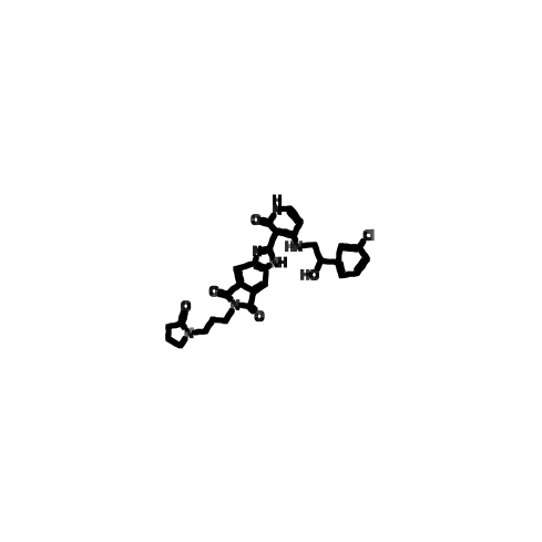 O=C1CCCN1CCCN1C(=O)c2cc3nc(-c4c(NCC(O)c5cccc(Cl)c5)cc[nH]c4=O)[nH]c3cc2C1=O